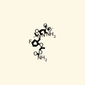 CC(COC(N)=O)Oc1ccc(F)cc1CN1c2nc(N)c([N+](=O)[O-])cc2OC[C@H]1C